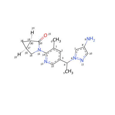 Cc1cc(C(C)n2cc(N)cn2)cnc1N1C[C@H]2C[C@H]2C1=O